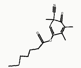 CCCCCCC(=O)OC1=CC(C)(C#N)C(=O)C(C)=C1C